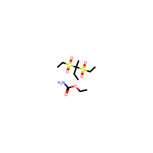 CCC(C)(S(=O)(=O)CC)S(=O)(=O)CC.CCOC(N)=O